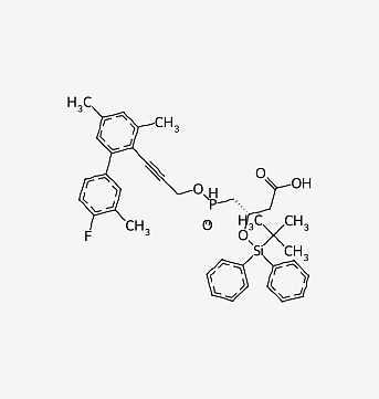 Cc1cc(C)c(C#CCO[PH](=O)C[C@H](CC(=O)O)O[Si](c2ccccc2)(c2ccccc2)C(C)(C)C)c(-c2ccc(F)c(C)c2)c1